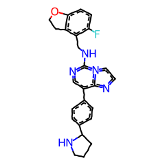 Fc1ccc2c(c1CNc1ncc(-c3ccc(C4CCCN4)cc3)c3nccn13)CCO2